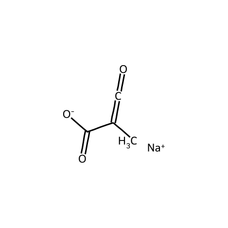 CC(=C=O)C(=O)[O-].[Na+]